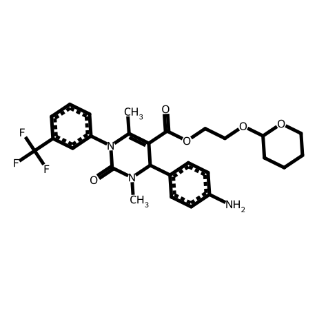 CC1=C(C(=O)OCCOC2CCCCO2)C(c2ccc(N)cc2)N(C)C(=O)N1c1cccc(C(F)(F)F)c1